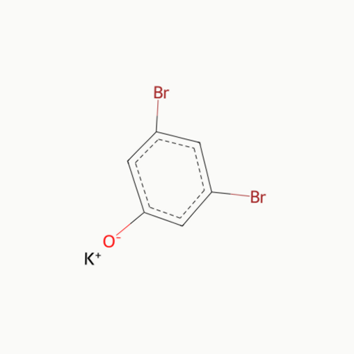 [K+].[O-]c1cc(Br)cc(Br)c1